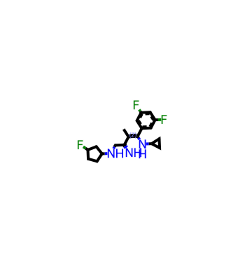 C/C(C(=N)CNC1CCC(F)C1)=C(/NC1CC1)c1cc(F)cc(F)c1